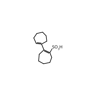 O=S(=O)(O)C1=C(C2=CCCCCC2)CCCCC1